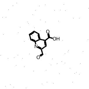 O=Cc1cc(C(=O)O)c2ccccc2n1